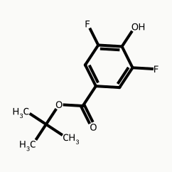 CC(C)(C)OC(=O)c1cc(F)c(O)c(F)c1